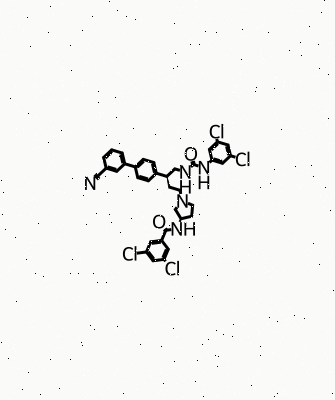 N#Cc1cccc(-c2ccc([C@H](CCN3CC[C@@H](NC(=O)c4cc(Cl)cc(Cl)c4)C3)CNC(=O)Nc3cc(Cl)cc(Cl)c3)cc2)c1